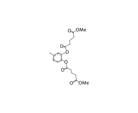 COC(=O)CCCC(=O)Oc1ccc(C)cc1OC(=O)CCCC(=O)OC